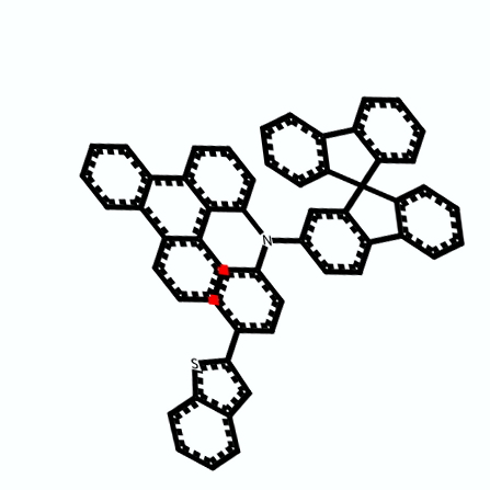 c1ccc2c(c1)-c1ccccc1C21c2ccccc2-c2ccc(N(c3ccc(-c4cc5ccccc5s4)cc3)c3cccc4c5ccccc5c5ccccc5c34)cc21